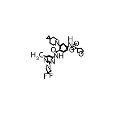 Cc1cc(NC(=O)c2ccc(NS(=O)(=O)C3CCOC3)cc2N2CCC3(CC2)CC3)nc(N2CC(F)(F)C2)n1